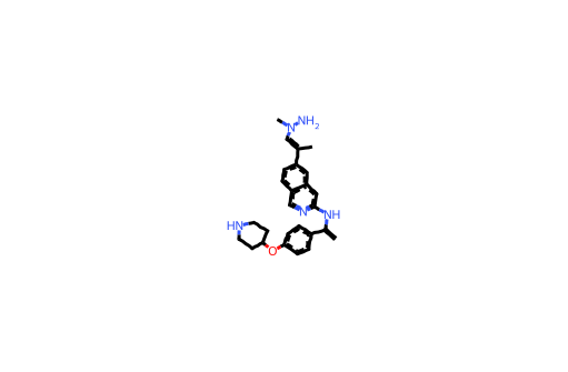 C=C(Nc1cc2cc(/C(C)=C/N(C)N)ccc2cn1)c1ccc(OC2CCNCC2)cc1